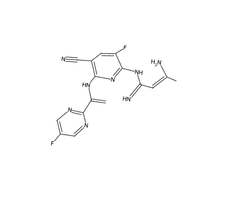 C=C(Nc1nc(NC(=N)/C=C(/C)N)c(F)cc1C#N)c1ncc(F)cn1